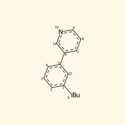 CCC(C)c1cccc(-c2cccnc2)c1